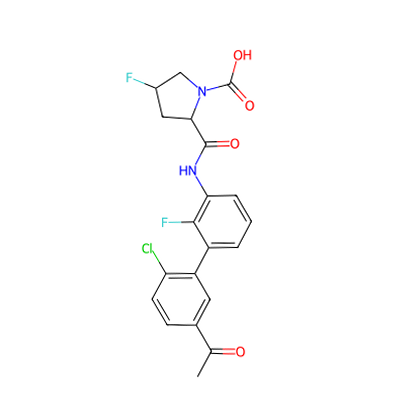 CC(=O)c1ccc(Cl)c(-c2cccc(NC(=O)C3CC(F)CN3C(=O)O)c2F)c1